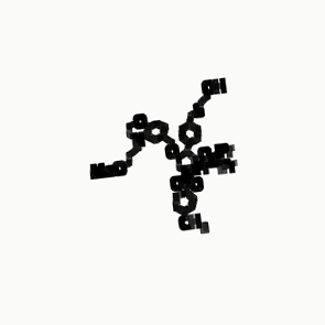 COCCCN1CCOc2ccc(CO[C@H]3CN(S(=O)(=O)c4ccc(C)cc4)C[C@@H](O[Si](C(C)C)(C(C)C)C(C)C)[C@@H]3c3ccc(CSCCO)cc3)cc21